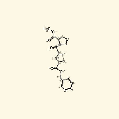 COC(=O)C1CSCN1C(=O)C1CSC(C(=O)OCc2ccccc2)N1